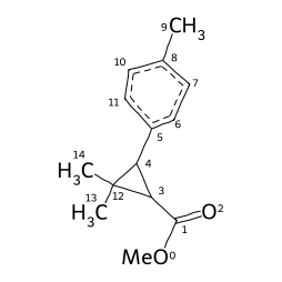 COC(=O)C1C(c2ccc(C)cc2)C1(C)C